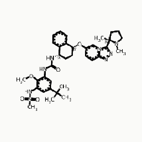 COc1c(NC(=O)N[C@H]2CC[C@H](Oc3ccc4nnc([C@]5(C)CCCN5C)n4c3)c3ccccc32)cc(C(C)(C)C)cc1NS(C)(=O)=O